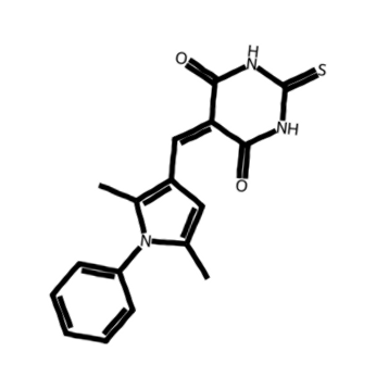 Cc1cc(C=C2C(=O)NC(=S)NC2=O)c(C)n1-c1ccccc1